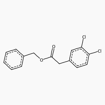 O=C(Cc1ccc(Cl)c(Cl)c1)OCc1ccccc1